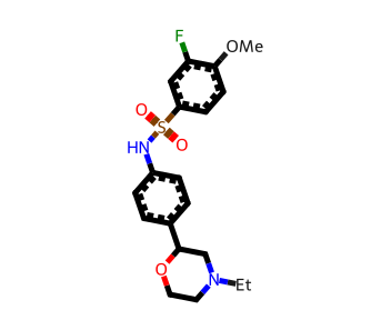 CCN1CCOC(c2ccc(NS(=O)(=O)c3ccc(OC)c(F)c3)cc2)C1